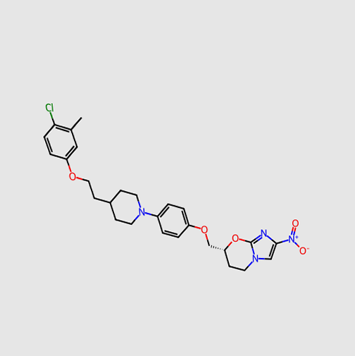 Cc1cc(OCCC2CCN(c3ccc(OC[C@H]4CCn5cc([N+](=O)[O-])nc5O4)cc3)CC2)ccc1Cl